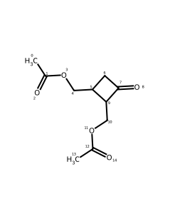 CC(=O)OCC1CC(=O)C1COC(C)=O